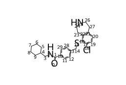 O=C(NCC1CCCCC1)c1ccc(CSc2c(Cl)ccc3c2CCNCC3)cc1